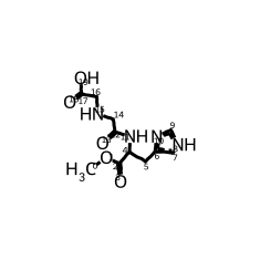 COC(=O)C(Cc1c[nH]cn1)NC(=O)CNCC(=O)O